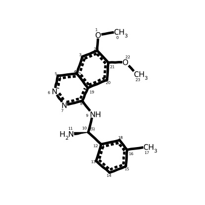 COc1cc2cnnc(N[C@H](N)c3cccc(C)c3)c2cc1OC